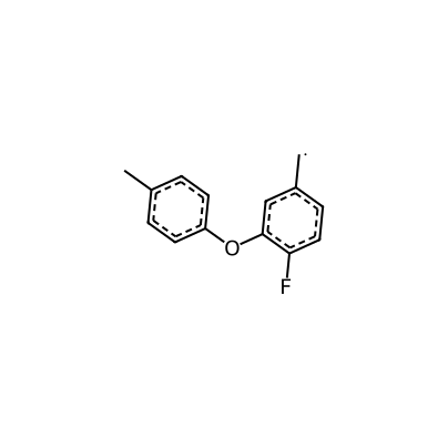 [CH2]c1ccc(F)c(Oc2ccc(C)cc2)c1